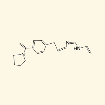 C=CN/C=N\C=C/Cc1ccc(C(=C)N2CCCC2)cc1